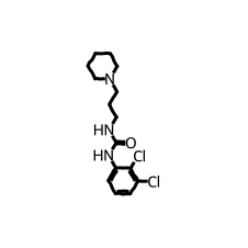 O=C(NCCCN1CCCCC1)Nc1cccc(Cl)c1Cl